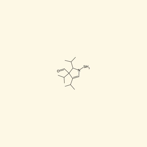 CC(C)C1=CN([SiH3])C(C(C)C)C1(C=O)C(C)C